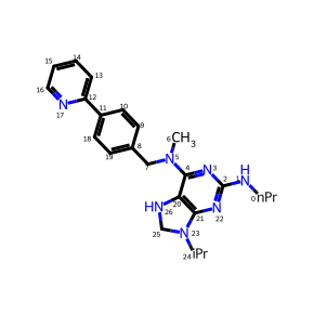 CCCNc1nc(N(C)Cc2ccc(-c3ccccn3)cc2)c2c(n1)N(C(C)C)CN2